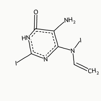 C=CN(I)c1nc(I)[nH]c(=O)c1N